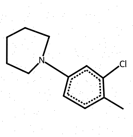 Cc1ccc(N2CCCCC2)cc1Cl